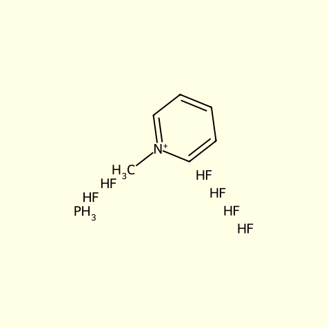 C[n+]1ccccc1.F.F.F.F.F.F.P